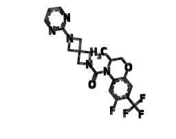 CC1COc2cc(C(F)(F)F)c(F)cc2N1C(=O)N1CC2(C1)CN(c1ncccn1)C2